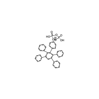 O=P(O)(O)OP(=O)(O)O.c1ccc(-c2cc(-c3ccccc3)c(-c3ccccc3)c(-c3ccccc3)c2-c2ccccc2)cc1